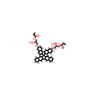 C=CC(=O)OCC(O)COc1ccc2cc(C3(c4ccc5cc(OCC(O)COC(=O)C=C)ccc5c4)c4cc5ccccc5cc4-c4cc5ccccc5cc43)ccc2c1